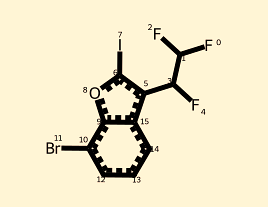 FC(F)C(F)c1c(I)oc2c(Br)cccc12